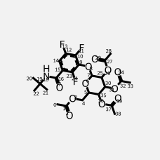 CC(=O)OCC1OC(Oc2c(F)c(F)cc(C(=O)NC(C)(C)C)c2F)C(OC(C)=O)C(OC(C)=O)C1OC(C)=O